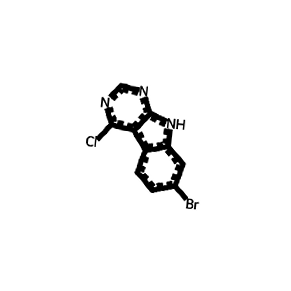 Clc1ncnc2[nH]c3cc(Br)ccc3c12